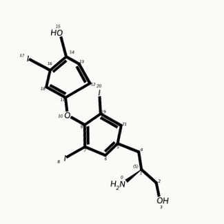 N[C@H](CO)Cc1cc(I)c(Oc2ccc(O)c(I)c2)c(I)c1